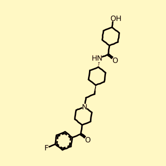 O=C(N[C@H]1CC[C@H](CCN2CCC(C(=O)c3ccc(F)cc3)CC2)CC1)C1CCC(O)CC1